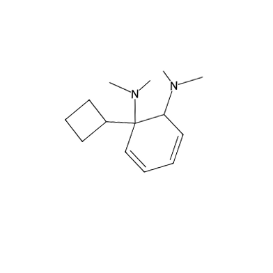 CN(C)C1C=CC=CC1(C1CCC1)N(C)C